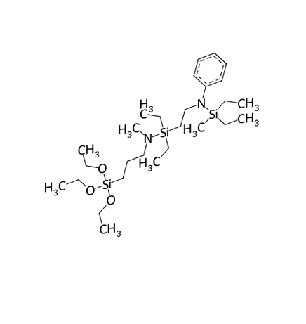 CCO[Si](CCCN(C)[Si](CC)(CC)CCN(c1ccccc1)[Si](C)(CC)CC)(OCC)OCC